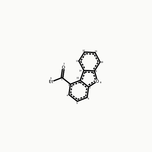 CCC(=O)c1cccc2oc3ccccc3c12